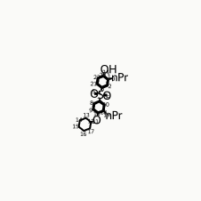 CCCc1cc(S(=O)(=O)c2ccc(OC3CCCCC3)c(CCC)c2)ccc1O